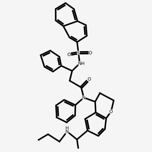 CCCNC(C)c1ccc2c(c1)C(N(C(=O)CC(NS(=O)(=O)c1ccc3ccccc3c1)c1ccccc1)c1ccccc1)CCO2